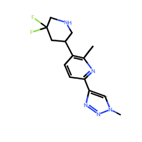 Cc1nc(-c2[c]n(C)nn2)ccc1C1CNCC(F)(F)C1